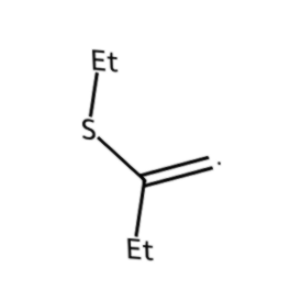 [CH]=C(CC)SCC